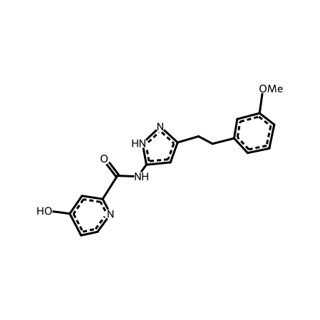 COc1cccc(CCc2cc(NC(=O)c3cc(O)ccn3)[nH]n2)c1